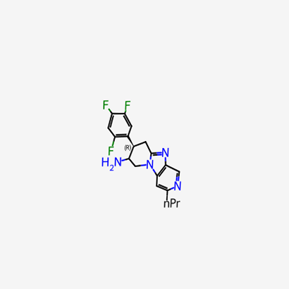 CCCc1cc2c(cn1)nc1n2CC(N)[C@@H](c2cc(F)c(F)cc2F)C1